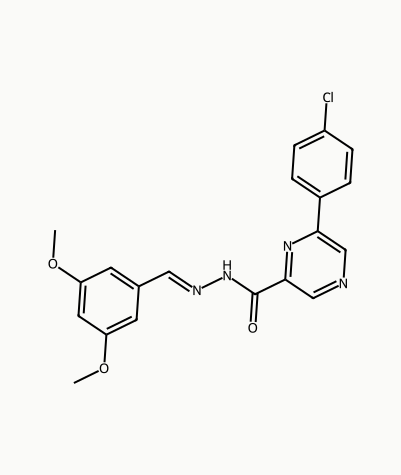 COc1cc(C=NNC(=O)c2cncc(-c3ccc(Cl)cc3)n2)cc(OC)c1